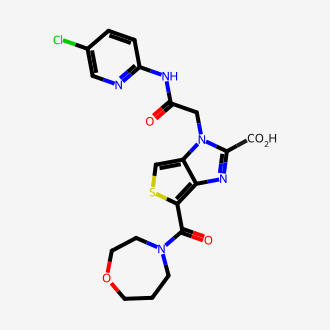 O=C(Cn1c(C(=O)O)nc2c(C(=O)N3CCCOCC3)scc21)Nc1ccc(Cl)cn1